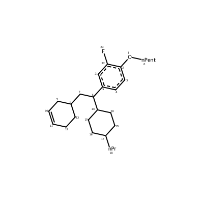 CCCCCOc1ccc(C(CC2CC=CCC2)C2CCC(CCC)CC2)cc1F